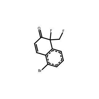 O=C1C=Cc2c(Br)cccc2C1(F)CF